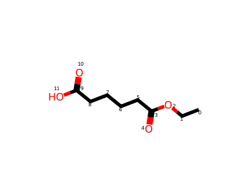 C[CH]OC(=O)CCCCC(=O)O